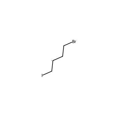 BrCC[CH]CI